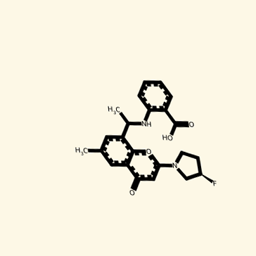 Cc1cc(C(C)Nc2ccccc2C(=O)O)c2oc(N3CC[C@@H](F)C3)cc(=O)c2c1